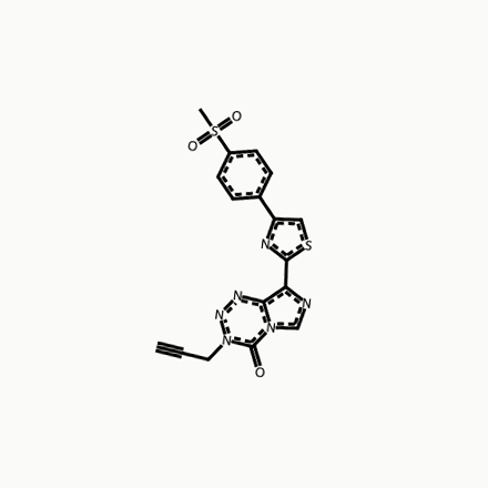 C#CCn1nnc2c(-c3nc(-c4ccc(S(C)(=O)=O)cc4)cs3)ncn2c1=O